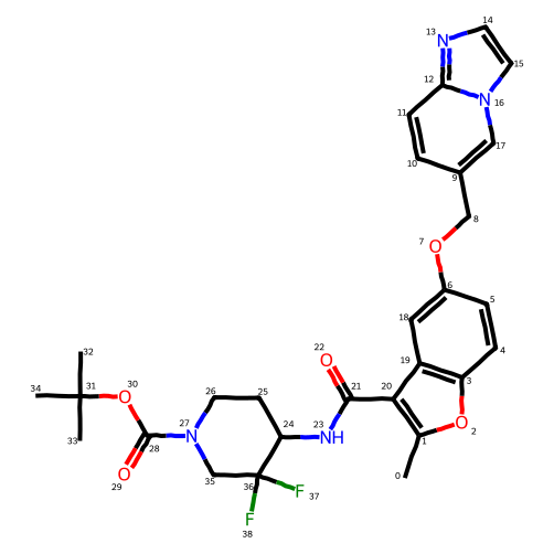 Cc1oc2ccc(OCc3ccc4nccn4c3)cc2c1C(=O)NC1CCN(C(=O)OC(C)(C)C)CC1(F)F